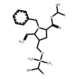 C=CC1C(CO[Si](C)(C)C(F)CCC)CC(C(=O)OC(F)CCC)N1Cc1ccccc1